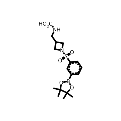 CC1(C)OB(c2cccc(S(=O)(=O)N3CC(CNC(=O)O)C3)c2)OC1(C)C